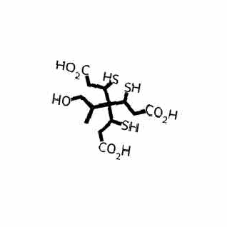 CC(CO)C(C(S)CC(=O)O)(C(S)CC(=O)O)C(S)CC(=O)O